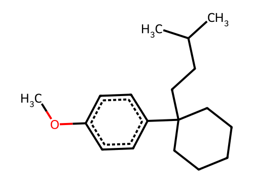 COc1ccc(C2(CCC(C)C)CCCCC2)cc1